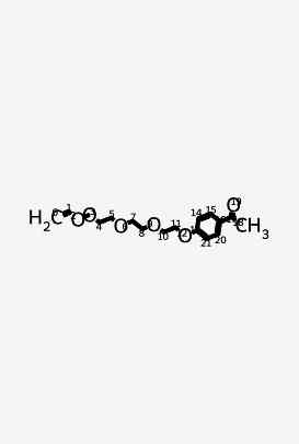 C=COOCCOCCOCCOc1ccc(C(C)=O)cc1